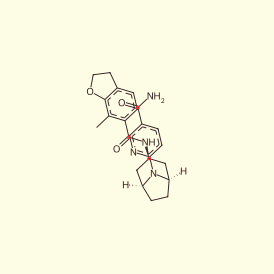 Cc1c(C(=O)N[C@H]2C[C@H]3CC[C@@H](C2)N3c2ccc(C(N)=O)cn2)ccc2c1OCC2